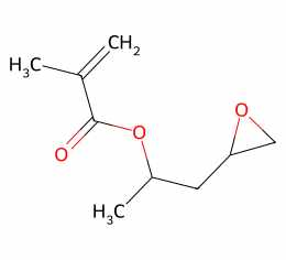 C=C(C)C(=O)OC(C)CC1CO1